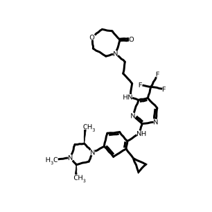 C[C@@H]1CN(c2ccc(Nc3ncc(C(F)(F)F)c(NCCCN4CCOCCC4=O)n3)c(C3CC3)c2)[C@H](C)CN1C